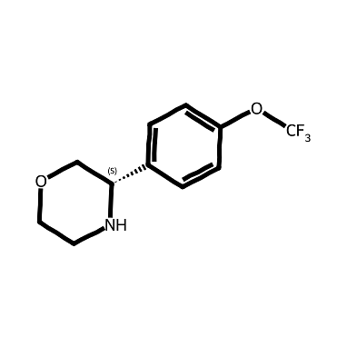 FC(F)(F)Oc1ccc([C@H]2COCCN2)cc1